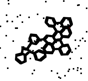 c1ccc(-c2ccccc2-c2c3ccccc3c(-c3ccccc3-c3ccccc3)c3cc(-c4cccc(-c5nc6ccccc6n5-c5ccccc5)c4)ccc23)cc1